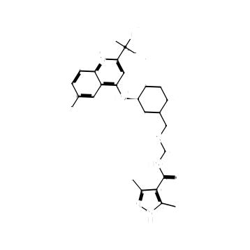 Cc1n[nH]c(C)c1C(=O)NCNCC1CCC[C@H](Nc2cc(C(F)(F)F)nc3ccc(Cl)cc23)C1